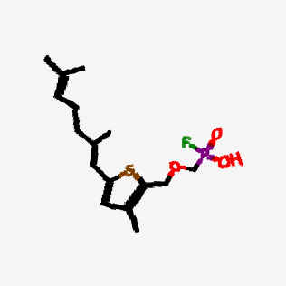 CC(C)=CCC/C(C)=C/c1cc(C)c(COCP(=O)(O)F)s1